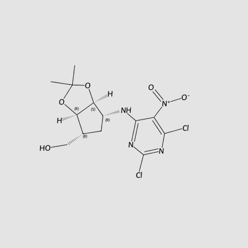 CC1(C)O[C@@H]2[C@@H](CO)C[C@@H](Nc3nc(Cl)nc(Cl)c3[N+](=O)[O-])[C@@H]2O1